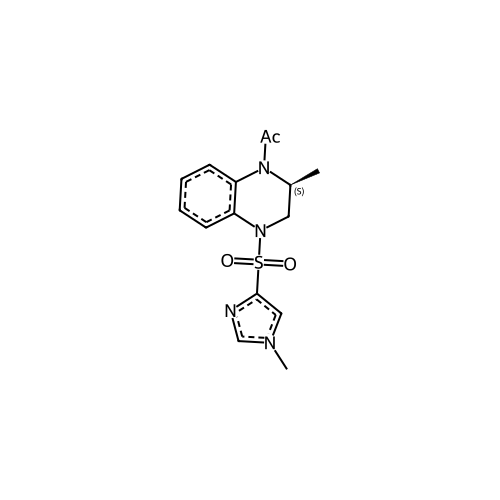 CC(=O)N1c2ccccc2N(S(=O)(=O)c2cn(C)cn2)C[C@@H]1C